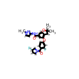 Cn1ccc(NC(=O)c2cc(Oc3ccc(C(=O)N4CC[C@@H](F)C4)c(F)c3)c3c(c2)OC(C)(C)C3)n1